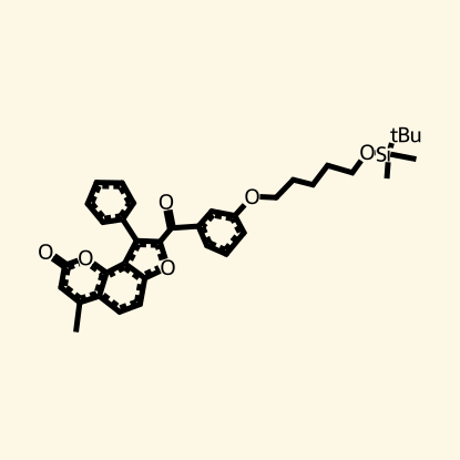 Cc1cc(=O)oc2c1ccc1oc(C(=O)c3cccc(OCCCCCO[Si](C)(C)C(C)(C)C)c3)c(-c3ccccc3)c12